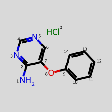 Cl.Nc1ncncc1Oc1ccccc1